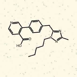 CCCCCn1nc(C)nc1Cc1ccc(-c2cnccc2C(=O)O)cc1